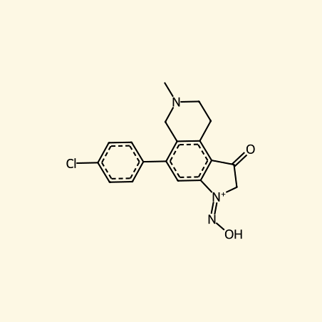 CN1CCc2c(c(-c3ccc(Cl)cc3)cc3c2C(=O)C[N+]3=NO)C1